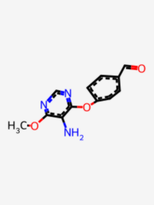 COc1ncnc(Oc2ccc(C=O)cc2)c1N